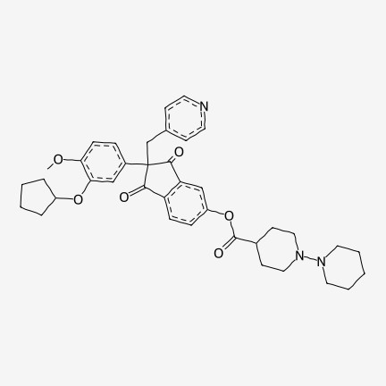 COc1ccc(C2(Cc3ccncc3)C(=O)c3ccc(OC(=O)C4CCN(N5CCCCC5)CC4)cc3C2=O)cc1OC1CCCC1